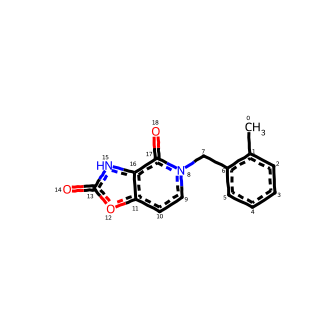 Cc1ccccc1Cn1ccc2oc(=O)[nH]c2c1=O